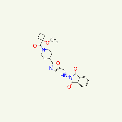 O=C1c2ccccc2C(=O)N1NCc1cnc(C2CCN(C(=O)C3(OC(F)(F)F)CCC3)CC2)o1